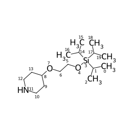 CC(C)[Si](OCCOC1CCNCC1)(C(C)C)C(C)C